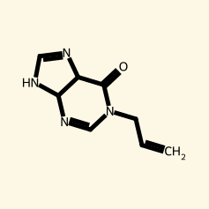 C=CCN1C=NC2NC=NC2C1=O